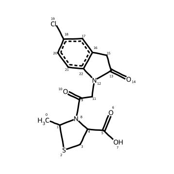 CC1SCC(C(=O)O)N1C(=O)CN1C(=O)Cc2cc(Cl)ccc21